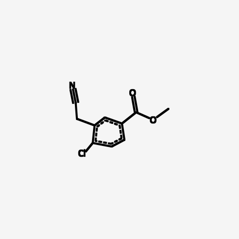 COC(=O)c1ccc(Cl)c(CC#N)c1